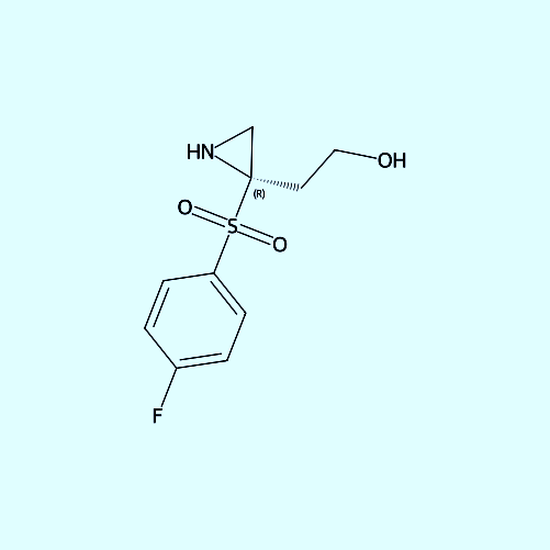 O=S(=O)(c1ccc(F)cc1)[C@]1(CCO)CN1